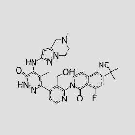 Cc1c(-c2ccnc(-n3ccc4cc(C(C)(C)C#N)cc(F)c4c3=O)c2CO)n[nH]c(=O)c1Nc1cc2n(n1)CCN(C)C2